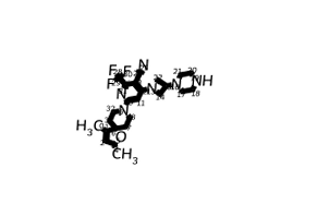 CC1=CC(C)OC12CCN(c1cc(N3CC(N4CCNCC4)C3)c(C#N)c(C(F)(F)F)n1)CC2